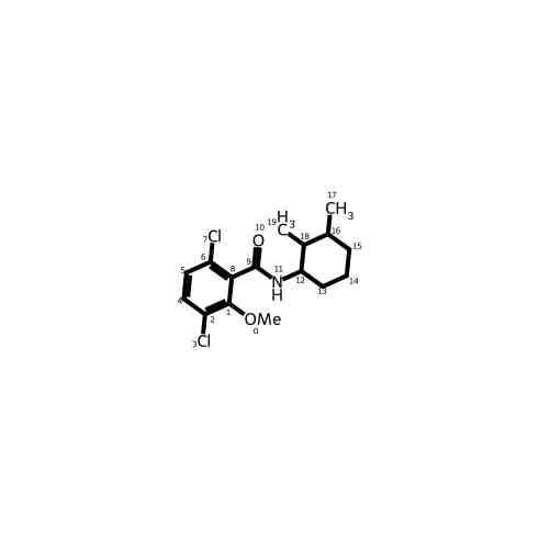 COc1c(Cl)ccc(Cl)c1C(=O)NC1CCCC(C)C1C